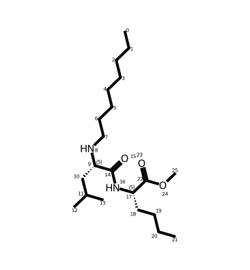 CCCCCCCCN[C@@H](CC(C)C)C(=O)N[C@@H](CCCC)C(=O)OC